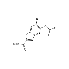 COC(=O)c1cc2cc(OC(F)F)c(Br)cc2s1